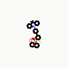 CC1(C)c2ccccc2N(c2ccc(-c3ccc4c(c3)[Si]3(c5ccccc5Oc5ccccc53)c3ccccc3S4)cc2)c2ccccc21